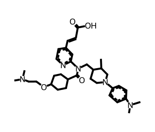 CC1CN(c2ccc(N(C)C)cc2)CCC1CN(C(=O)C1CCC(OCCN(C)C)CC1)c1cc(C=CC(=O)O)ccn1